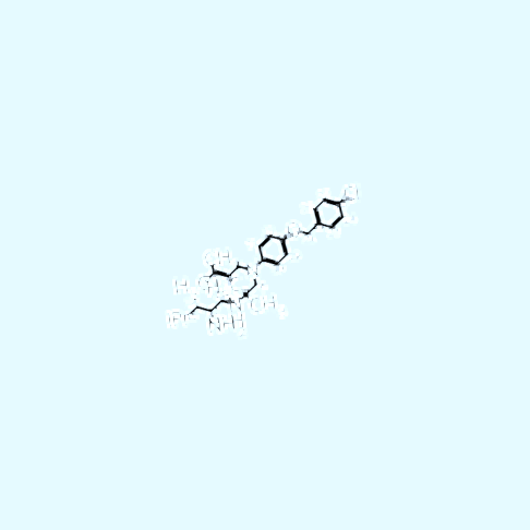 CC(C)=CCN(CC(C)(C)NC[C@@H](N)CC(C)C)c1ccc(OCc2ccc(Cl)cc2)cc1